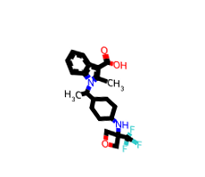 Cc1c(C(=O)O)c2ccccc2n1C(C)C1CCC(NC2(C(F)(F)F)COC2)CC1